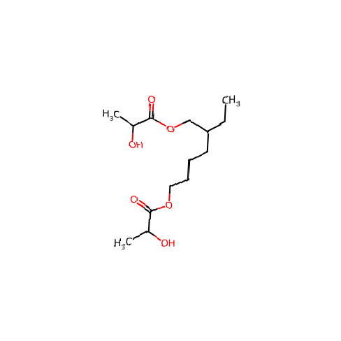 CCC(CCCCOC(=O)C(C)O)COC(=O)C(C)O